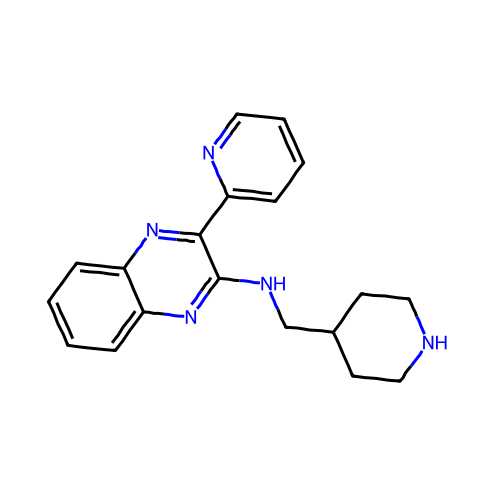 c1ccc(-c2nc3ccccc3nc2NCC2CCNCC2)nc1